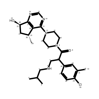 CC(C)CNCC(C(=O)N1CCN(c2ncnc3c2[C@H](C)C[C@H]3O)CC1)c1ccc(Cl)c(F)c1